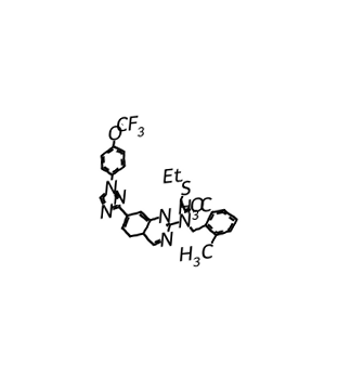 CCSCC(=O)N(Cc1c(C)cccc1C)C1=NC2=CC(c3ncn(-c4ccc(OC(F)(F)F)cc4)n3)=CCC2C=N1